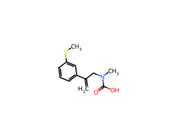 C=C(CN(C)C(=O)O)c1cccc(SC)c1